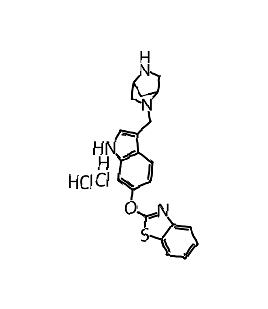 Cl.Cl.c1ccc2sc(Oc3ccc4c(CN5CC6CC5CN6)c[nH]c4c3)nc2c1